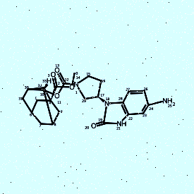 COC(=O)[C@]12CC3CC(C1)[C@@H](OC(=O)N1CC[C@@H](n4c(=O)[nH]c5cc(N)ccc54)C1)C(C3)C2